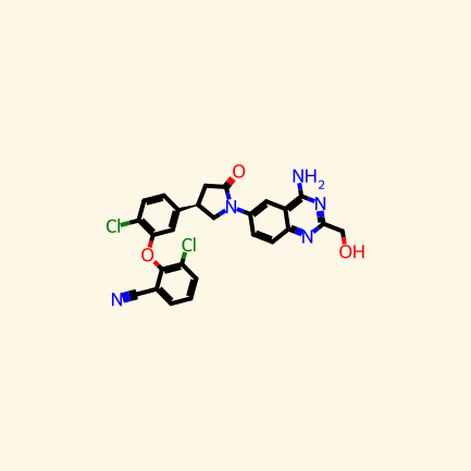 N#Cc1cccc(Cl)c1Oc1cc([C@H]2CC(=O)N(c3ccc4nc(CO)nc(N)c4c3)C2)ccc1Cl